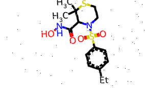 CCc1ccc(S(=O)(=O)N2CCSC(C)(C)C2C(=O)NO)cc1